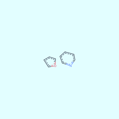 c1ccncc1.c1ccoc1